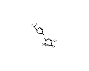 O=c1[nH]c(=O)n(CCc2ccc(C(F)(F)F)cc2)nc1O